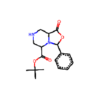 CC(C)(C)OC(=O)C1CNCC2C(=O)OC(c3ccccc3)N21